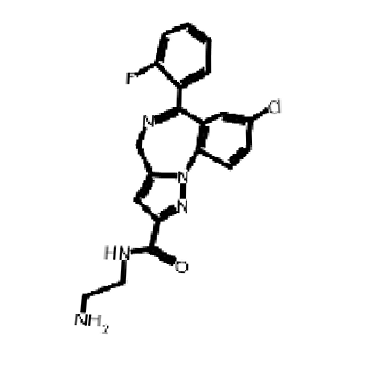 NCCNC(=O)c1cc2n(n1)-c1ccc(Cl)cc1C(c1ccccc1F)=NC2